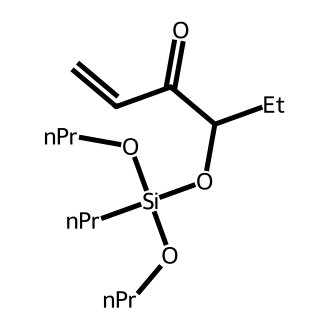 C=CC(=O)C(CC)O[Si](CCC)(OCCC)OCCC